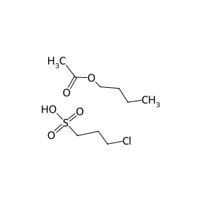 CCCCOC(C)=O.O=S(=O)(O)CCCCl